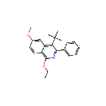 CCOc1nc(-c2ccccc2)c(C(C)(C)C)c2cc(OC)ccc12